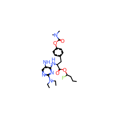 CCCC(F)OC(=O)C(Cc1ccc(OC(=O)N(C)C)cc1)Nc1nc(N(CC)CC)ncc1N